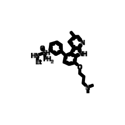 CCN[SH](=O)(P)c1cccc(-c2ccc(OCCCN(C)C)c3[nH]c4ncc(C)cc4c23)c1